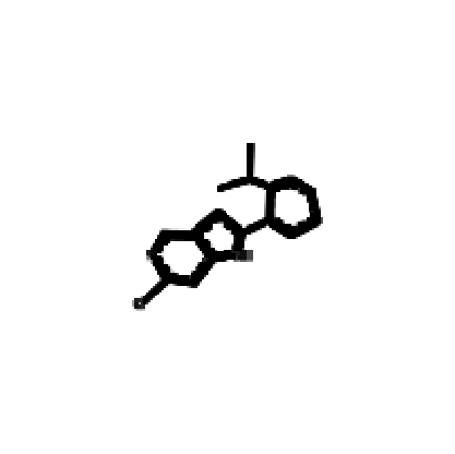 CC(C)c1ccccc1-c1cc2cnc(Cl)cc2[nH]1